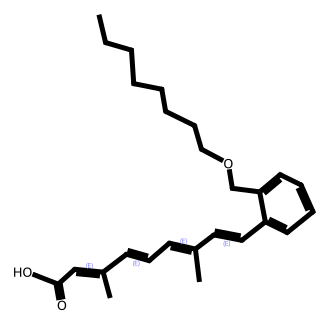 CCCCCCCCOCc1ccccc1/C=C/C(C)=C/C=C/C(C)=C/C(=O)O